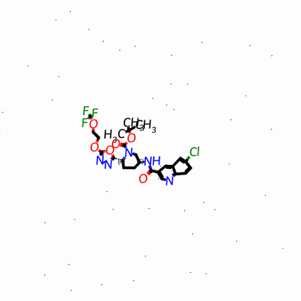 CC(C)(C)OC(=O)N1C[C@@H](NC(=O)c2cnc3ccc(Cl)cc3c2)CC[C@@H]1c1nnc(OCCOC(F)(F)F)o1